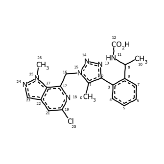 Cc1c(-c2ccccc2C(C)NC(=O)O)nnn1Cc1nc(Cl)cc2cnn(C)c12